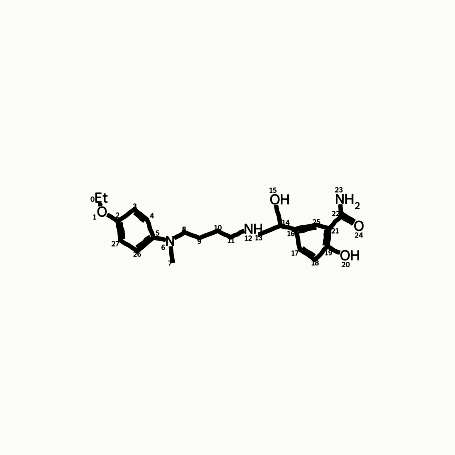 CCOc1ccc(N(C)CCCCNCC(O)c2ccc(O)c(C(N)=O)c2)cc1